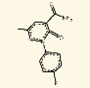 Cc1cc(C(N)=O)c(=O)n(-c2ccc(F)cc2)n1